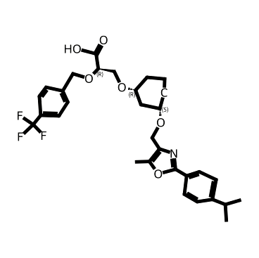 Cc1oc(-c2ccc(C(C)C)cc2)nc1CO[C@H]1CCC[C@@H](OC[C@@H](OCc2ccc(C(F)(F)F)cc2)C(=O)O)C1